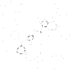 CC1(C)CCc2c(C(=O)Nc3cnn(C(c4cccnc4)C4CCOCC4)c3)n[nH]c2C1